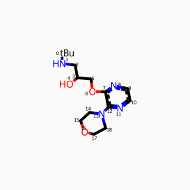 CC(C)(C)NCC(O)COc1nccnc1N1CCOCC1